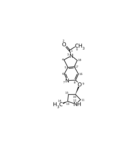 CC(=O)N1Cc2cnc(O[C@H]3CN[C@@H](C)C3)cc2C1